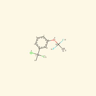 C[Si](Cl)(Cl)c1cccc(OC(F)(F)C(F)(F)F)c1